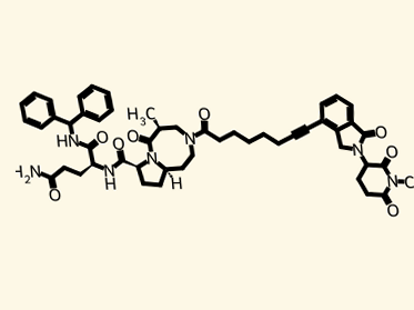 C[C@H]1CN(C(=O)CCCCCC#Cc2cccc3c2CN(C2CCC(=O)N(C)C2=O)C3=O)CC[C@H]2CC[C@@H](C(=O)N[C@@H](CCC(N)=O)C(=O)NC(c3ccccc3)c3ccccc3)N2C1=O